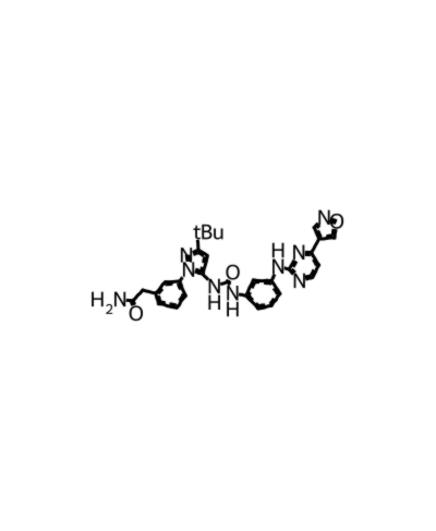 CC(C)(C)c1cc(NC(=O)Nc2cccc(Nc3nccc(-c4cnoc4)n3)c2)n(-c2cccc(CC(N)=O)c2)n1